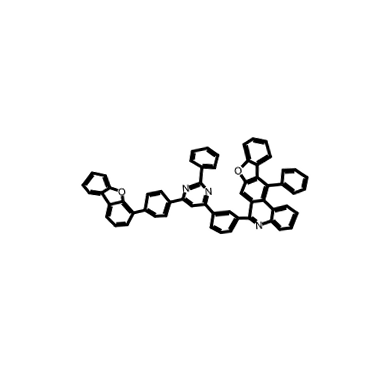 c1ccc(-c2nc(-c3ccc(-c4cccc5c4oc4ccccc45)cc3)cc(-c3cccc(-c4nc5ccccc5c5c(-c6ccccc6)c6c(cc45)oc4ccccc46)c3)n2)cc1